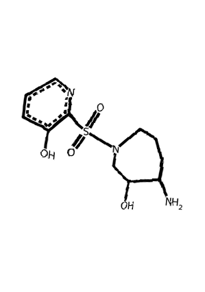 NC1CCCN(S(=O)(=O)c2ncccc2O)CC1O